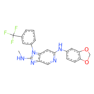 CNc1nc2cnc(Nc3ccc4c(c3)OCO4)cc2n1-c1cccc(C(F)(F)F)c1